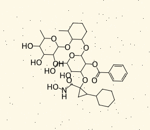 CC1CCCC(OC2OC(CO)C(O)C(OC3(C(=O)NO)CC3C3CCCCC3)C2OC(=O)c2ccccc2)C1OC1OC(C)C(O)C(O)C1O